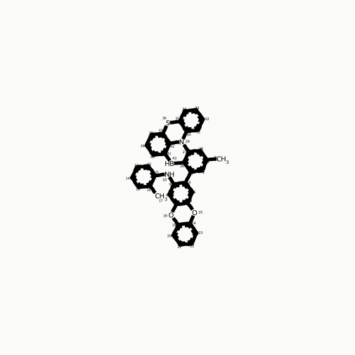 Cc1cc(-c2cc3c(cc2Nc2ccccc2C)Oc2ccccc2O3)c2c(c1)N1c3ccccc3Sc3cccc(c31)B2